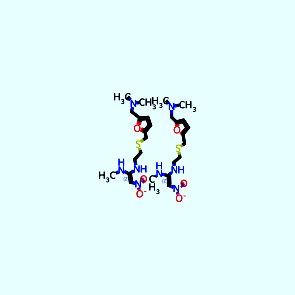 CN/C(=C/[N+](=O)[O-])NCCSCc1ccc(CN(C)C)o1.CN/C(=C/[N+](=O)[O-])NCCSCc1ccc(CN(C)C)o1